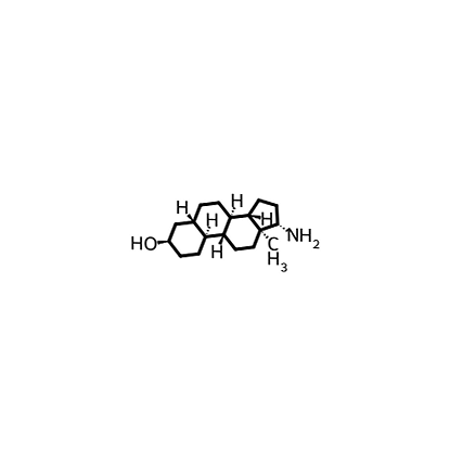 C[C@]12CC[C@H]3[C@@H](CC[C@H]4C[C@H](O)CC[C@@H]43)[C@@H]1CC[C@@H]2N